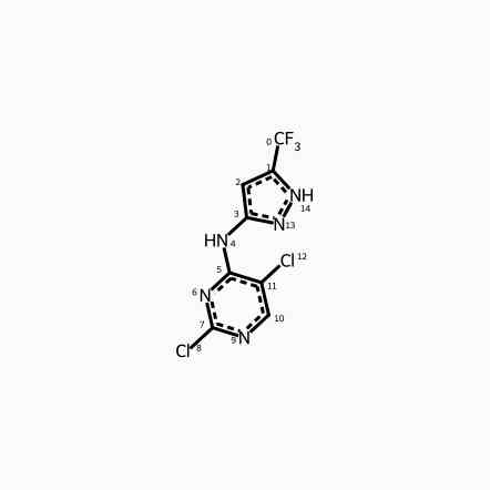 FC(F)(F)c1cc(Nc2nc(Cl)ncc2Cl)n[nH]1